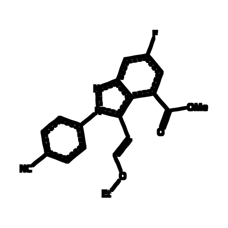 CCOC=Cc1c2c(C(=O)OC)cc(F)cc2nn1-c1ccc(C#N)cc1